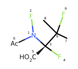 CC(=O)N(F)[C@](F)(C(=O)O)C(C)(C)F